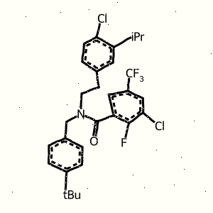 CC(C)c1cc(CCN(Cc2ccc(C(C)(C)C)cc2)C(=O)c2cc(C(F)(F)F)cc(Cl)c2F)ccc1Cl